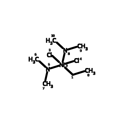 C[CH2][Ni]([Cl])([Cl])([N](C)C)[N](C)C